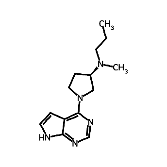 CCCN(C)[C@@H]1CCN(c2ncnc3[nH]ccc23)C1